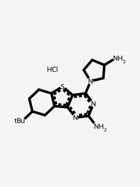 CC(C)(C)C1CCc2sc3c(N4CCC(N)C4)nc(N)nc3c2C1.Cl